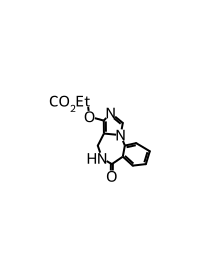 CCOC(=O)Oc1ncn2c1CNC(=O)c1ccccc1-2